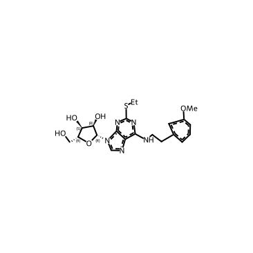 CCSc1nc(NCCc2cccc(OC)c2)c2ncn([C@@H]3O[C@H](CO)[C@@H](O)[C@H]3O)c2n1